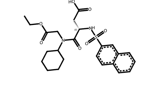 CCOC(=O)CN(C(=O)[C@H](CC(=O)O)NS(=O)(=O)c1ccc2ccccc2c1)C1CCCCC1